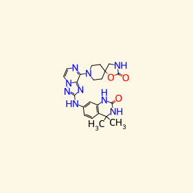 CC1(C)NC(=O)Nc2cc(Nc3nc4c(N5CCC6(CC5)CNC(=O)O6)nccn4n3)ccc21